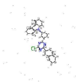 Clc1nc(-c2cccc(-n3c4ccccc4c4ccccc43)c2)nc(-c2ccc3ccccc3c2)n1